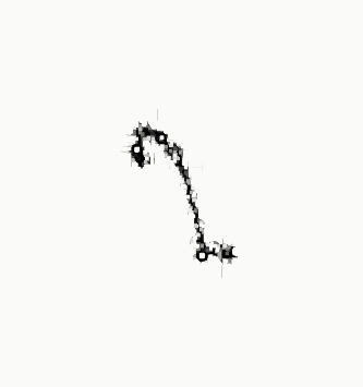 Cc1nc(NC(=O)c2ccccc2NC(=O)CCOCCOCCOCCOCCNC(=O)CN2CCN(c3ccc(Nc4ncc(F)c(-c5cc(F)c6nc(C)n(C(C)C)c6c5)n4)nc3)CC2)sc1C